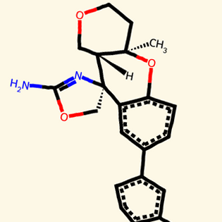 C[C@@]12CCOC[C@H]1[C@@]1(COC(N)=N1)c1cc(-c3cccc(C#N)c3)ccc1O2